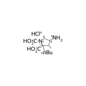 CCCCC1(C(=O)O)CC(N)CN1C(=O)O.Cl